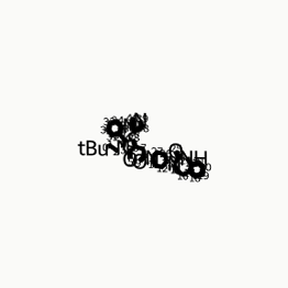 CC(C)(C)CCN1C(=O)C(CC(=O)N2CCC(N3CCc4ccccc4NC3=O)CC2)SC1c1ccccc1-n1ccnc1